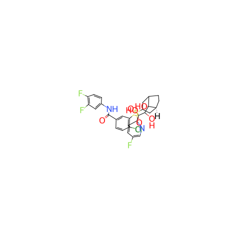 O=C(Nc1ccc(F)c(F)c1)c1ccc(Cl)c(S(=O)(=O)C2CC3CC[C@@H](C2)[C@@]3(O)C(O)C(O)c2ccc(F)cn2)c1